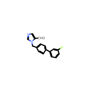 O=Cc1cncn1Cc1ccc(-c2cccc(F)c2)cc1